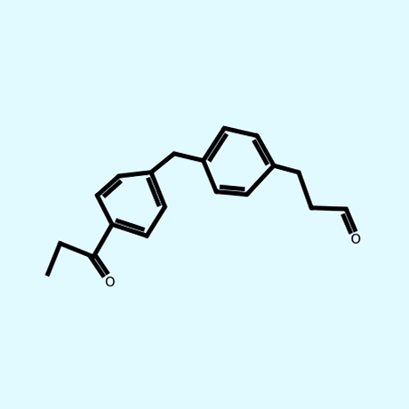 CCC(=O)c1ccc(Cc2ccc(CCC=O)cc2)cc1